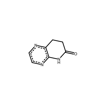 O=C1CCc2nccnc2N1